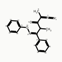 CC(=[N+]=[N-])C(=O)C(C)/C(=N\Oc1ccccc1)c1ccccc1